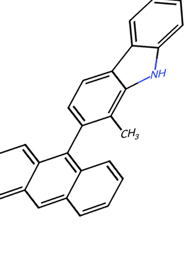 Cc1c(-c2c3ccccc3cc3ccccc23)ccc2c1[nH]c1ccccc12